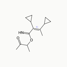 CC(=O)C(C)OC(=N)/C(=C(\C)C1CC1)C1CC1